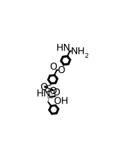 N=C(N)c1ccc(OC(=O)c2ccc(S(=O)(=O)N[C@@H](Cc3ccccc3)C(=O)O)cc2)cc1